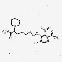 CC(=O)c1ccc(Cl)c(OCCCCCC(C(N)=O)N2CCCCC2)c1[N+](=O)[O-]